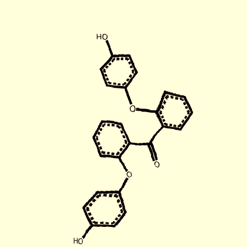 O=C(c1ccccc1Oc1ccc(O)cc1)c1ccccc1Oc1ccc(O)cc1